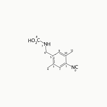 [C-]#[N+]c1cc(C)c(CNC(=O)O)cc1C